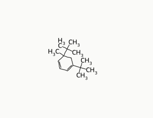 CC(C)(C)C1=CC=CC(C)(C(C)(C)C)C1